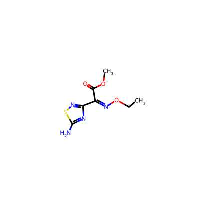 CCO/N=C(\C(=O)OC)c1nsc(N)n1